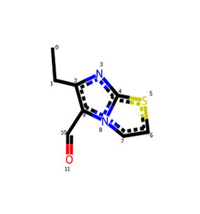 CCc1nc2sccn2c1C=O